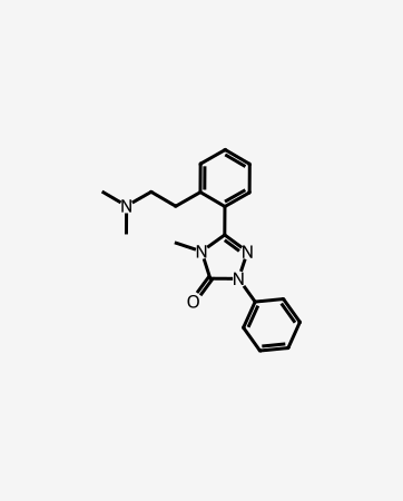 CN(C)CCc1ccccc1-c1nn(-c2ccccc2)c(=O)n1C